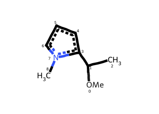 COC(C)c1cccn1C